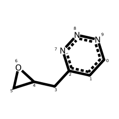 c1cc(CC2CO2)nnn1